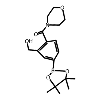 CC1(C)OB(c2ccc(C(=O)N3CCOCC3)c(CO)c2)OC1(C)C